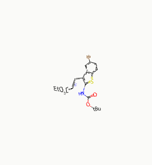 CCOC(=O)/C=C/c1c(NC(=O)OC(C)(C)C)sc2ccc(Br)cc12